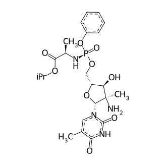 Cc1cn([C@@H]2O[C@H](CO[P@](=O)(N[C@H](C)C(=O)OC(C)C)Oc3ccccc3)[C@@H](O)[C@@]2(C)N)c(=O)[nH]c1=O